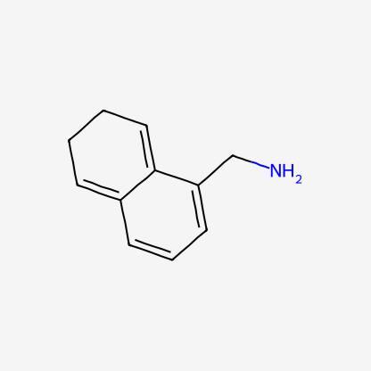 NCc1cccc2c1=CCCC=2